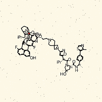 Cc1ncsc1-c1ccc([C@H](C)NC(=O)[C@@H]2C[C@@H](O)CN2C(=O)[C@@H](c2cc(N3CC4(CCN(CCOc5nc(N6CC7CCC(C6)N7C(=O)OC(C)(C)C)c6cnc(-c7cc(O)cc8ccc(F)c(C#C[Si](C(C)C)(C(C)C)C(C)C)c78)c(F)c6n5)CC4)C3)no2)C(C)C)cc1